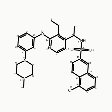 CCc1c(C(C)NS(=O)(=O)c2ccc3c(Cl)cccc3c2)ccnc1Oc1cccc(N2CCN(C)CC2)c1